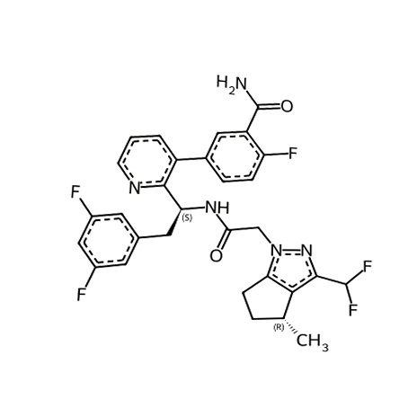 C[C@@H]1CCc2c1c(C(F)F)nn2CC(=O)N[C@@H](Cc1cc(F)cc(F)c1)c1ncccc1-c1ccc(F)c(C(N)=O)c1